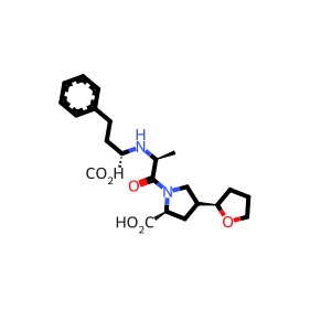 C[C@H](N[C@@H](CCc1ccccc1)C(=O)O)C(=O)N1CC([C@H]2CCCO2)C[C@H]1C(=O)O